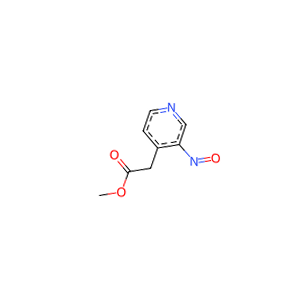 COC(=O)Cc1ccncc1N=O